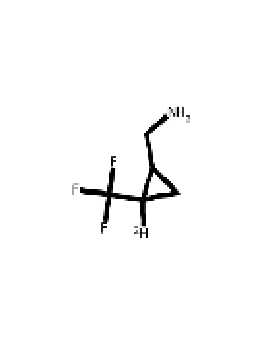 [2H]C1(C(F)(F)F)CC1CN